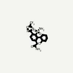 NC(=O)Cc1ccc(-c2noc(C(F)(F)F)n2)c(S(N)(=O)=O)c1-c1ccccc1Cl